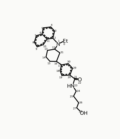 CCN(c1cccc2ccccc12)C1CCCC(c2ccc(C(=O)NCCCCO)cc2)C1